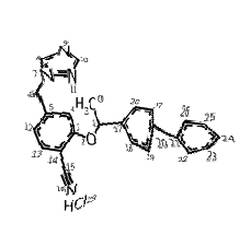 CC(Oc1cc(Cn2cncn2)ccc1C#N)c1ccc(-c2ccccc2)cc1.Cl